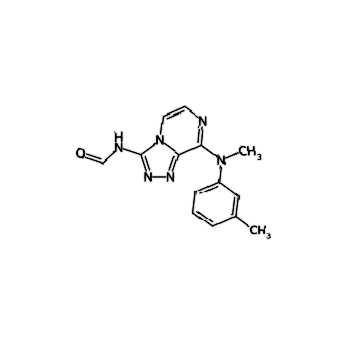 Cc1cccc(N(C)c2nccn3c(NC=O)nnc23)c1